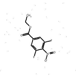 CCOC(=O)c1cc(F)c([N+](=O)[O-])c(F)c1